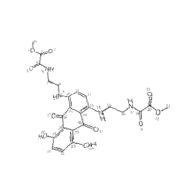 COC(=O)C(=O)NCCNc1ccc(NCCNC(=O)C(=O)OC)c2c1C(=O)c1c(O)ccc(O)c1C2=O